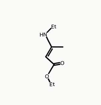 CCN/C(C)=C/C(=O)OCC